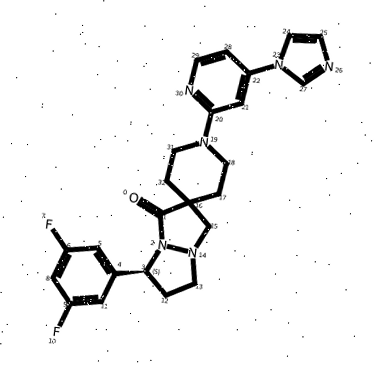 O=C1N2[C@H](c3cc(F)cc(F)c3)CCN2CC12CCN(c1cc(-n3ccnc3)ccn1)CC2